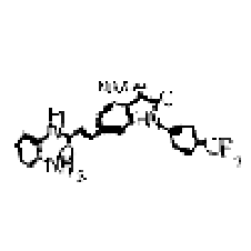 CNC(C(=O)Nc1ccc(C(F)(F)F)cc1)c1ccc(C=CC(=O)Nc2ccccc2N)cc1